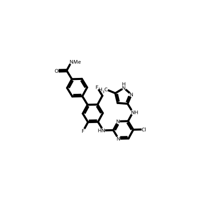 CNC(=O)c1ccc(-c2cc(F)c(Nc3ncc(Cl)c(Nc4cc(C)[nH]n4)n3)cc2CF)cc1